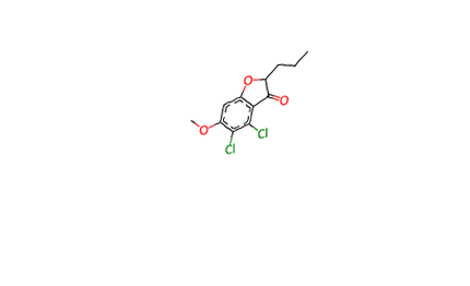 CCCC1Oc2cc(OC)c(Cl)c(Cl)c2C1=O